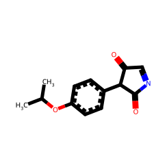 CC(C)Oc1ccc(C2C(=O)C=NC2=O)cc1